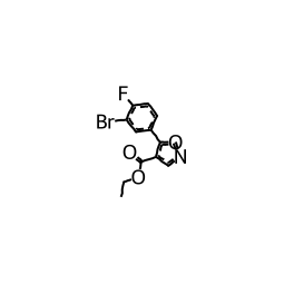 CCOC(=O)c1cnoc1-c1ccc(F)c(Br)c1